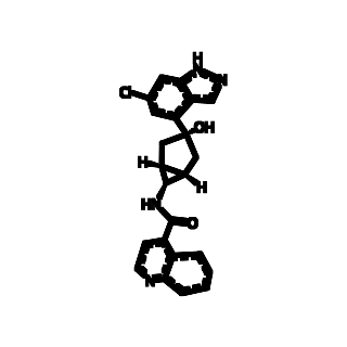 O=C(N[C@H]1[C@@H]2C[C@@](O)(c3cc(Cl)cc4[nH]ncc34)C[C@@H]21)c1ccnc2ccccc12